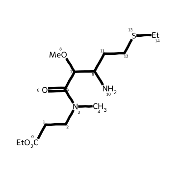 CCOC(=O)CCN(C)C(=O)C(OC)C(N)CCSCC